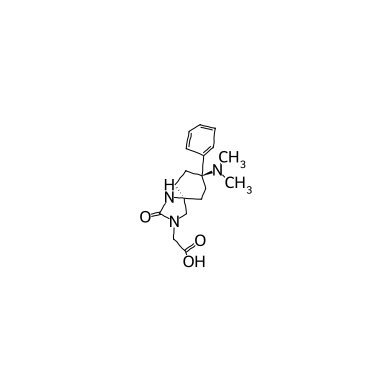 CN(C)[C@]1(c2ccccc2)CC[C@]2(CC1)CN(CC(=O)O)C(=O)N2